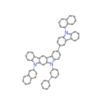 c1ccc(-c2cccc(-n3c4ccc(-c5ccc6c(c5)c5ccccc5n6-c5cccc6ccccc56)cc4c4cc5c6ccccc6n(-c6ccc7ccccc7c6)c5cc43)c2)cc1